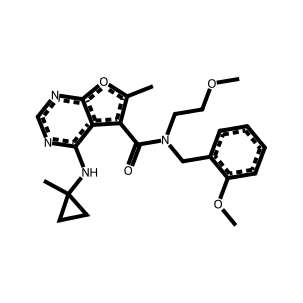 COCCN(Cc1ccccc1OC)C(=O)c1c(C)oc2ncnc(NC3(C)CC3)c12